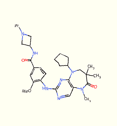 COc1cc(C(=O)NC2CN(C(C)C)C2)ccc1Nc1ncc2c(n1)N(C1CCCC1)CC(C)(C)C(=O)N2C